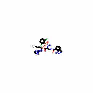 CCCC(Nc1ncc[nH]1)OC(=O)C(CNC(=O)c1cccc2cn[nH]c12)NS(=O)(=O)c1c(Cl)cccc1Cl